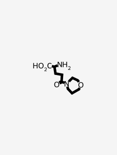 NC(CCC(=O)N1CCCOCC1)C(=O)O